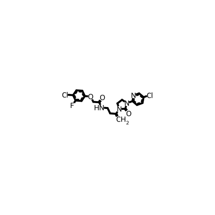 C=C(CCNC(=O)COc1ccc(Cl)c(F)c1)N1CCN(c2ccc(Cl)cn2)C1=O